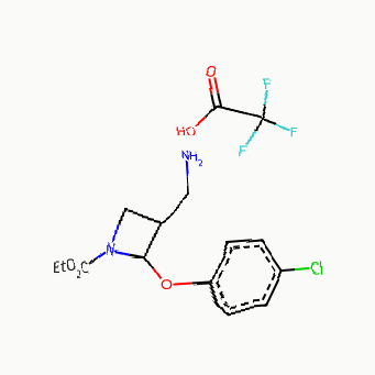 CCOC(=O)N1CC(CN)C1Oc1ccc(Cl)cc1.O=C(O)C(F)(F)F